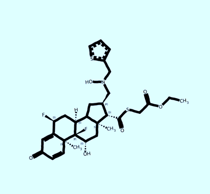 CCOC(=O)CSC(=O)[C@H]1[C@H](CN(O)Cc2cccs2)CC2[C@@H]3C[C@H](F)C4=CC(=O)C=C[C@]4(C)[C@@]3(F)[C@@H](O)C[C@@]21C